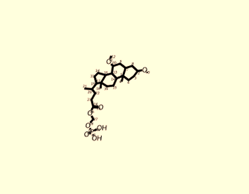 COC1CCC2(C)C(C1)CC(OC)C1C2CCC2(C)C(C(C)CCC(=O)OCOP(=O)(O)O)CCC12